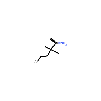 C=C(N)C(C)(C)CCC(C)=O